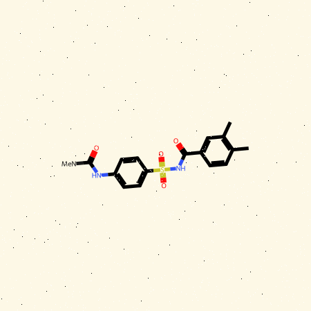 CNC(=O)Nc1ccc(S(=O)(=O)NC(=O)c2ccc(C)c(C)c2)cc1